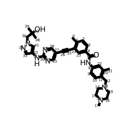 Cc1ccc(C(=O)Nc2ccc(CN3CCN(C)CC3)c(C)c2)cc1C#Cc1cnc(Nc2cnn(CC(C)(C)O)c2)nc1